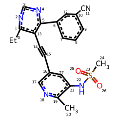 CCc1ncnc(-c2cccc(C#N)c2)c1C#Cc1cnc(C)c(NS(C)(=O)=O)c1